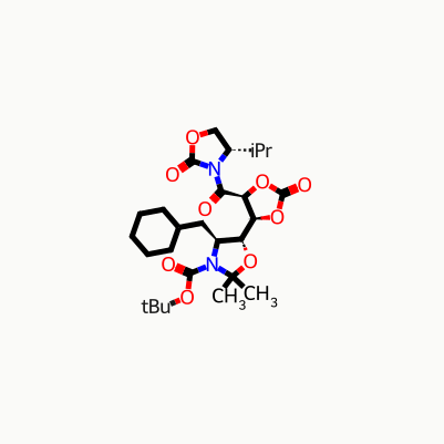 CC(C)[C@H]1COC(=O)N1C(=O)[C@H]1OC(=O)O[C@H]1[C@@H]1OC(C)(C)N(C(=O)OC(C)(C)C)[C@H]1CC1CCCCC1